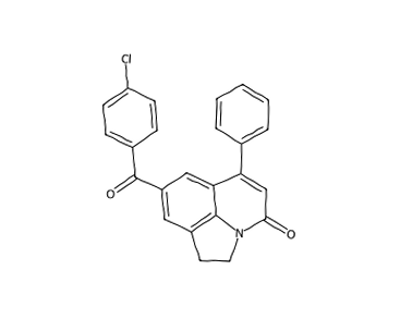 O=C(c1ccc(Cl)cc1)c1cc2c3c(c1)c(-c1ccccc1)cc(=O)n3CC2